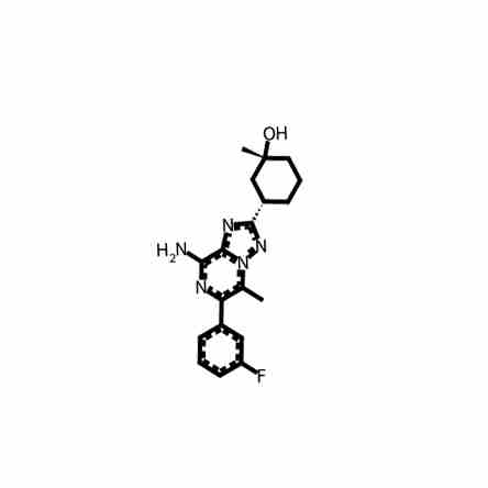 Cc1c(-c2cccc(F)c2)nc(N)c2nc([C@H]3CCC[C@@](C)(O)C3)nn12